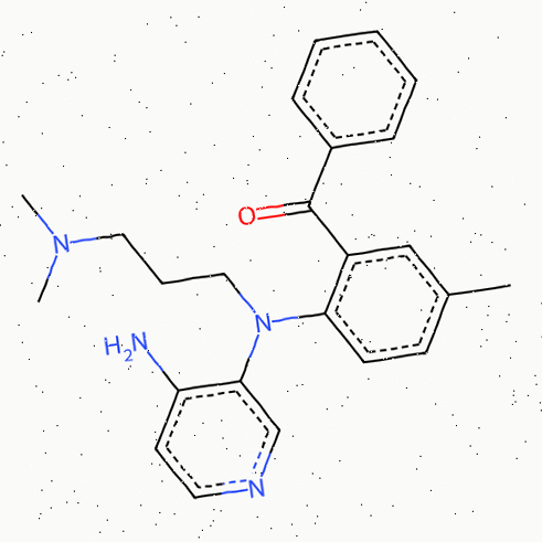 Cc1ccc(N(CCCN(C)C)c2cnccc2N)c(C(=O)c2ccccc2)c1